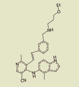 CCOCCCNCc1cccc(/C=C/c2c(C)ncc(C#N)c2Nc2ccc3[nH]ccc3c2C)c1